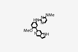 CNc1ccnc(Nc2ccc(OC)c(-c3cc4[nH]ccc4cn3)c2)n1